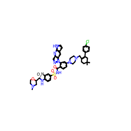 CN1CCOC(CNc2ccc(S(=O)(=O)NC(=O)c3ccc(N4CCN(CC5=C(c6ccc(Cl)cc6)CC(C)(C)CC5)CC4)cc3-n3ncc4nc5[nH]ccc5cc43)cc2[N+](=O)[O-])C1